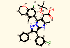 Cc1nc2c(-c3cccc(Cl)c3)c(-c3ccccc3)nn2c(-c2cc(F)c3c(c2C)CCCO3)c1[C@H](OC(C)(C)C)C(=O)O